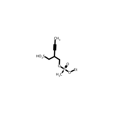 CC#CC(COP(C)(=O)OCC)CS(=O)(=O)O